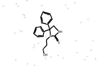 OCCCN1C(=S)NCC1(c1ccccc1)c1ccccc1